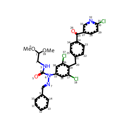 COC(CNC(=O)N(/N=C/c1ccccc1)c1cc(Cl)c(Cc2ccc(C(=O)c3ccc(Cl)nc3)cc2)c(Cl)c1)OC